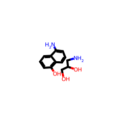 NCC(O)CO.Nc1cccc2c(O)cccc12